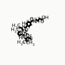 CC(C)C(NC(=O)c1ccc(C(=O)NCCCC(=O)O)cc1)C(=O)N1CCC[C@H]1C(=O)NC(C(=O)C(F)(F)F)C(C)C